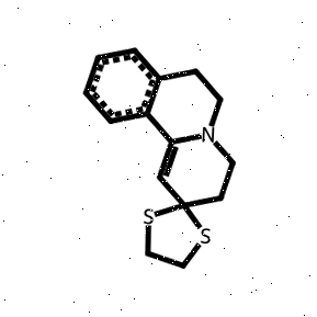 C1=C2c3ccccc3CCN2CCC12SCCS2